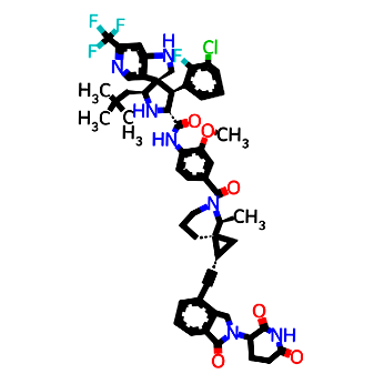 COc1cc(C(=O)N2CCC[C@@]3(C[C@@H]3C#Cc3cccc4c3CN(C3CCC(=O)NC3=O)C4=O)[C@@H]2C)ccc1NC(=O)[C@@H]1N[C@@H](CC(C)(C)C)[C@@]2(CNc3cc(C(F)(F)F)ncc32)[C@H]1c1cccc(Cl)c1F